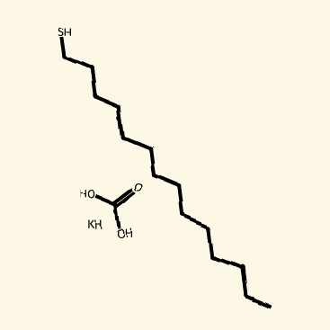 CCCCCCCCCCCCCCS.O=C(O)O.[KH]